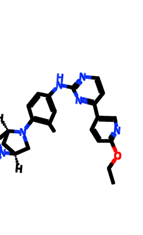 CCOc1ccc(-c2ccnc(Nc3ccc(N4C[C@@H]5C[C@H]4CN5C)c(C)c3)n2)cn1